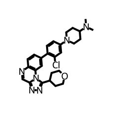 CN(C)C1CCN(c2ccc(-c3ccc4ncc5nnc(C6CCOCC6)n5c4c3)c(Cl)c2)CC1